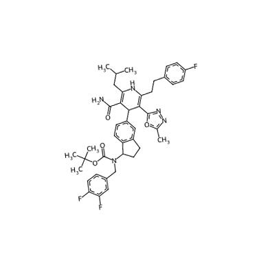 Cc1nnc(C2=C(CCc3ccc(F)cc3)NC(CC(C)C)=C(C(N)=O)C2c2ccc3c(c2)CCC3N(Cc2ccc(F)c(F)c2)C(=O)OC(C)(C)C)o1